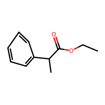 CCOC(=O)C(C)c1ccccc1